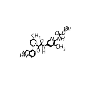 Cc1cc(NC(=O)C(=O)N2C[C@H](C)CC[C@H]2c2cccc3[nH]ncc23)cnc1NC(=O)OC(C)(C)C